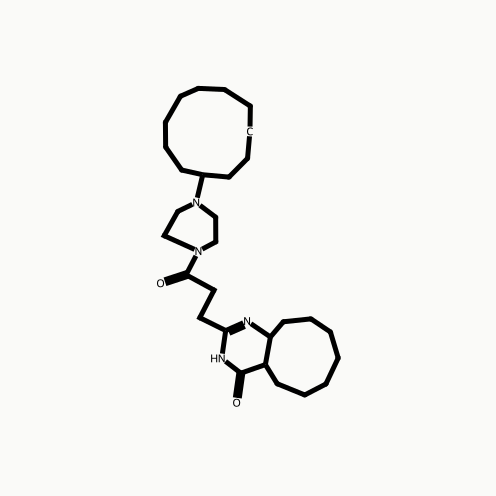 O=C1NC(CCC(=O)N2CCN(C3CCCCCCCCCC3)CC2)=NC2CCCCCCCC12